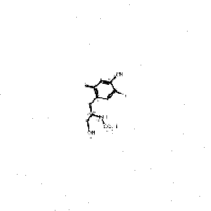 Cc1cc(C#N)c(F)cc1C[C@H](CO)NC(=O)O